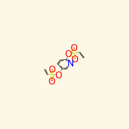 C=CS(=O)(=O)Oc1ccc(OS(=O)(=O)C=C)nc1